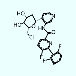 O=C(Nc1cnccc1[C@H]1C[C@@H](O)[C@H](O)[C@@H](CCl)O1)c1ccc(F)c(-c2c(F)cccc2F)n1